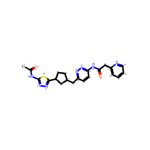 CCC(=O)Nc1nnc(C2CCC(Cc3ccc(NC(=O)Cc4ccccn4)nn3)C2)s1